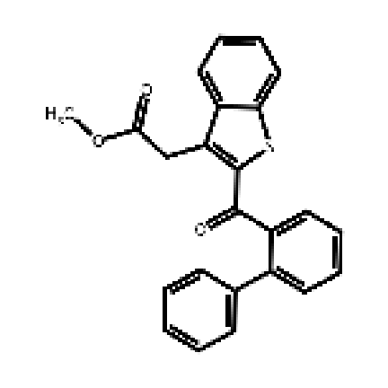 COC(=O)Cc1c(C(=O)c2ccccc2-c2ccccc2)sc2ccccc12